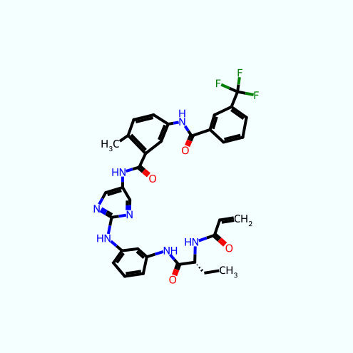 C=CC(=O)N[C@H](CC)C(=O)Nc1cccc(Nc2ncc(NC(=O)c3cc(NC(=O)c4cccc(C(F)(F)F)c4)ccc3C)cn2)c1